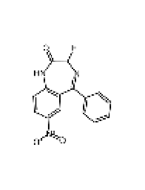 O=C1Nc2ccc([N+](=O)[O-])cc2C(c2ccccc2)=NC1F